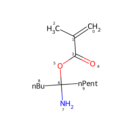 C=C(C)C(=O)OC(N)(CCCC)CCCCC